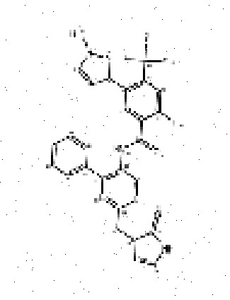 Cn1ccc(-c2cc(C(=O)Nc3cnc(Cn4cn[nH]c4=O)nc3-c3ccccc3)c(F)cc2C(F)(F)F)n1